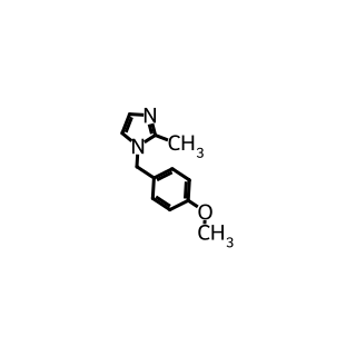 COc1ccc(Cn2ccnc2C)cc1